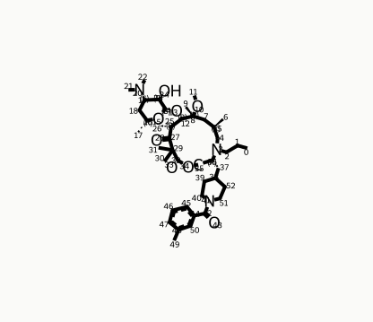 CCCN1C[C@H](C)C[C@@](C)(OC)[C@H](O[C@@H]2O[C@H](C)C[C@H](N(C)C)[C@H]2O)[C@@H](C)C(=O)C(C)(C)C(=O)OC[C@H]1CC1CCN(C(=O)c2cccc(C)c2)CC1